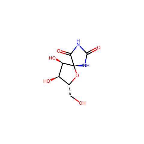 O=C1NC(=O)[C@]2(N1)O[C@H](CO)[C@@H](O)[C@H]2O